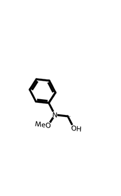 CON([CH]O)c1ccccc1